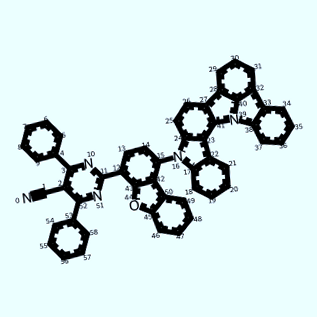 N#Cc1c(-c2ccccc2)nc(-c2ccc(-n3c4ccccc4c4c3ccc3c5cccc6c7ccccc7n(c65)c34)c3c2oc2ccccc23)nc1-c1ccccc1